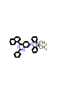 C[Si]1(C)c2ccccc2N(c2ccc3c(-c4cccc5ccccc45)nc(-c4ccccc4)nc3c2)c2ccccc21